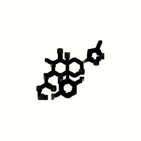 Cc1cc([C@H]2C[C@H]3C(=O)N(C)/C(=N/C(=O)OC(C)(C)C)N[C@@]3(c3cc(F)ccc3F)CO2)on1